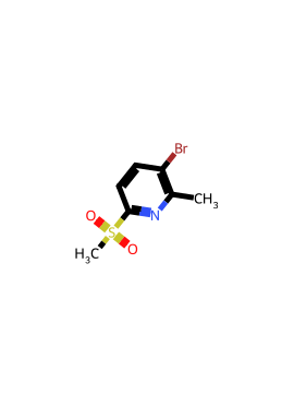 Cc1nc(S(C)(=O)=O)ccc1Br